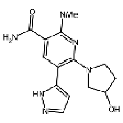 CNc1nc(N2CCC(O)C2)c(-c2ccn[nH]2)cc1C(N)=O